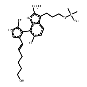 CCOC(=O)c1[nH]c2c(-c3c(/C=C/CCCCO)n[nH]c3CC)c(Cl)ccc2c1CCCO[Si](C)(C)C(C)(C)C